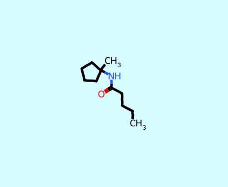 CCCCC(=O)NC1(C)CCCC1